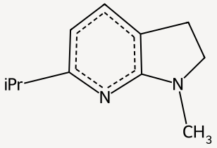 CC(C)c1ccc2c(n1)N(C)CC2